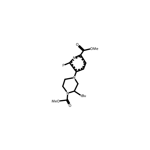 COC(=O)c1ccc(N2CCN(C(=O)OC)C(C(C)(C)C)C2)c(F)n1